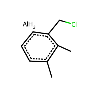 Cc1cccc(CCl)c1C.[AlH3]